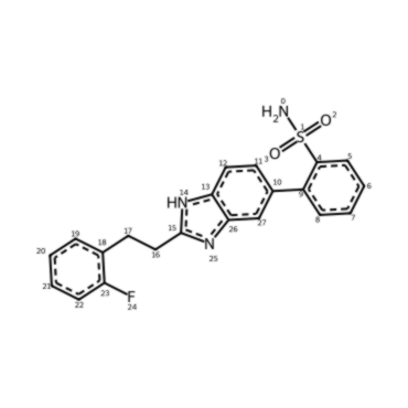 NS(=O)(=O)c1ccccc1-c1ccc2[nH]c(CCc3ccccc3F)nc2c1